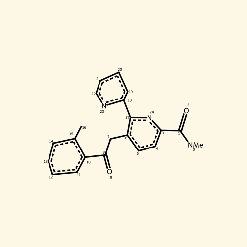 CNC(=O)c1ccc(CC(=O)c2ccccc2C)c(-c2ccccn2)n1